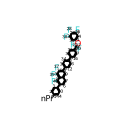 CCCc1ccc(-c2ccc3cc(-c4ccc(-c5ccc(C(F)(F)Oc6cc(F)c(F)c(F)c6)cc5)cc4)c(F)c(F)c3c2F)cc1